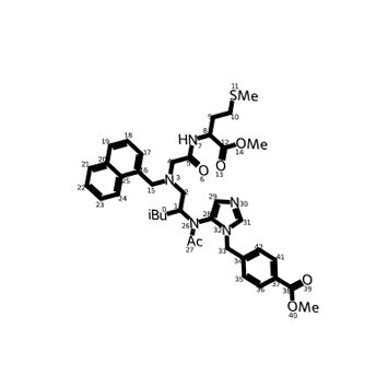 CCC(C)C(CN(CC(=O)NC(CCSC)C(=O)OC)Cc1cccc2ccccc12)N(C(C)=O)c1cncn1Cc1ccc(C(=O)OC)cc1